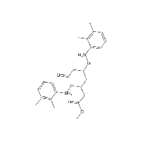 COC(=O)CC(CC(CC=O)O[SiH2]c1cccc(C)c1C)O[SiH2]c1cccc(C)c1C